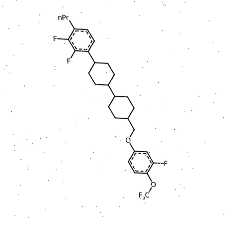 CCCc1ccc(C2CCC(C3CCC(COc4ccc(OC(F)(F)F)c(F)c4)CC3)CC2)c(F)c1F